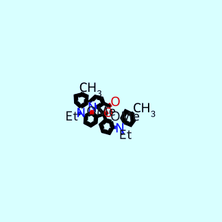 CCN(c1ccc(C)cc1)c1cccc(C2(c3cccc(N(CC)c4ccc(C)cc4)c3OC)OC(=O)c3cccnc32)c1OC